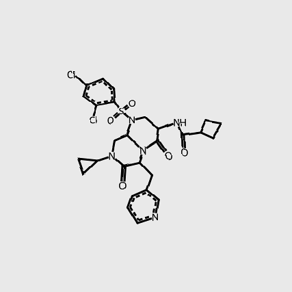 O=C(NC1CN(S(=O)(=O)c2ccc(Cl)cc2Cl)C2CN(C3CC3)C(=O)C(Cc3cccnc3)N2C1=O)C1CCC1